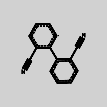 N#Cc1ccc[c]c1-c1ccccc1C#N